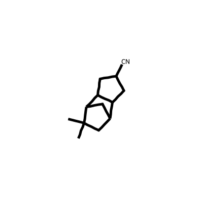 CC1(C)CC2CC1C1CC(C#N)CC21